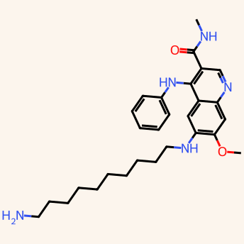 CNC(=O)c1cnc2cc(OC)c(NCCCCCCCCCCN)cc2c1Nc1ccccc1